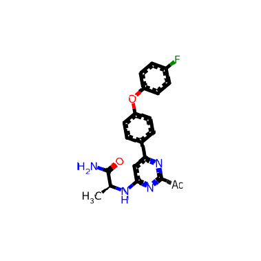 CC(=O)c1nc(N[C@@H](C)C(N)=O)cc(-c2ccc(Oc3ccc(F)cc3)cc2)n1